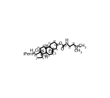 CCC[C@@H](C)[C@H]1CC[C@H]2[C@@H]3CC=C4C[C@@H](OC(=O)NCCN(C)C)CC[C@]4(C)[C@H]3CC[C@]12C